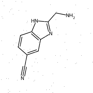 N#Cc1ccc2[nH]c(CN)nc2c1